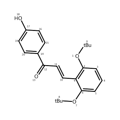 CC(C)(C)Oc1cccc(OC(C)(C)C)c1C=CC(=O)c1ccc(O)cc1